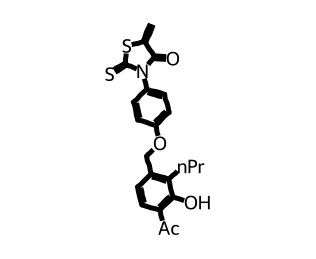 C=C1SC(=S)N(c2ccc(OCc3ccc(C(C)=O)c(O)c3CCC)cc2)C1=O